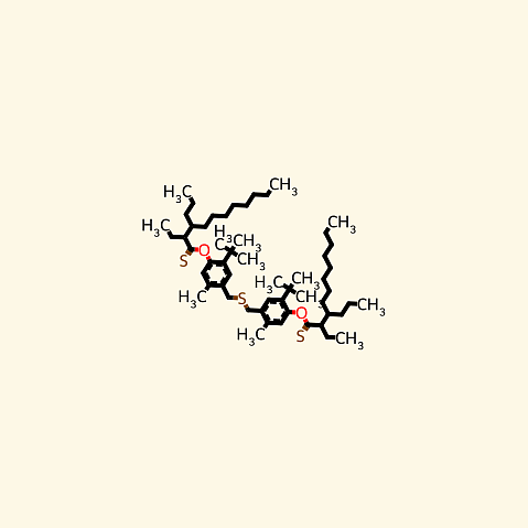 CCCCCCCCC(CCC)C(CC)C(=S)Oc1cc(C)c(CSCc2cc(C(C)(C)C)c(OC(=S)C(CC)C(CCC)CCCCCCCC)cc2C)cc1C(C)(C)C